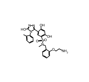 Cc1ccccc1-n1c(O)nnc1-c1cc(S(=O)(=O)N(C)Cc2ccccc2OCCN)c(O)cc1O